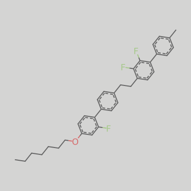 CCCCCCCOc1ccc(-c2ccc(CCc3ccc(-c4ccc(C)cc4)c(F)c3F)cc2)c(F)c1